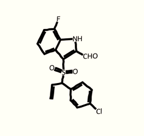 C=CC(c1ccc(Cl)cc1)S(=O)(=O)c1c(C=O)[nH]c2c(F)cccc12